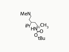 CNCCC(C[C@H](C)NC(=O)OC(C)(C)C)C(C)C